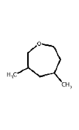 CC1CCOCC(C)C1